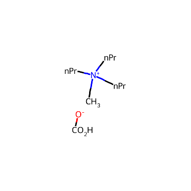 CCC[N+](C)(CCC)CCC.O=C([O-])O